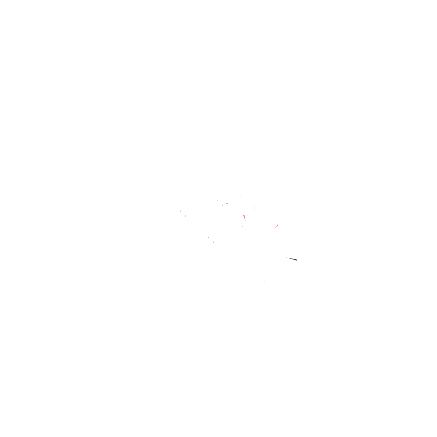 OC[C@H]1OC[C@H](Nc2ncc(Cl)c(C(F)(F)F)n2)[C@@H](O)[C@H]1O